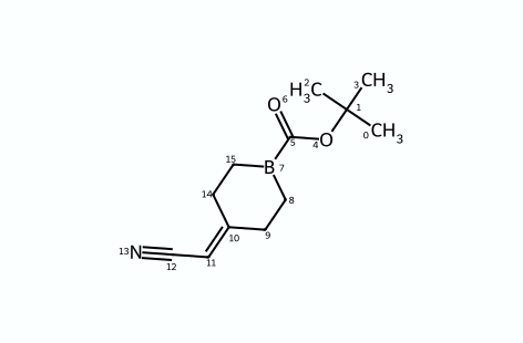 CC(C)(C)OC(=O)B1CCC(=CC#N)CC1